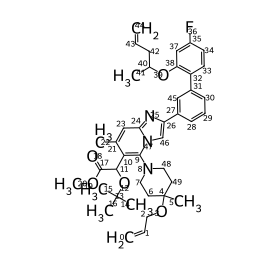 C=CCOC1(C)CCN(c2c(C(OC(C)(C)C)C(=O)OC)c(C)cc3nc(-c4cccc(-c5ccc(F)cc5OC(C)CC=C)c4)cn23)CC1